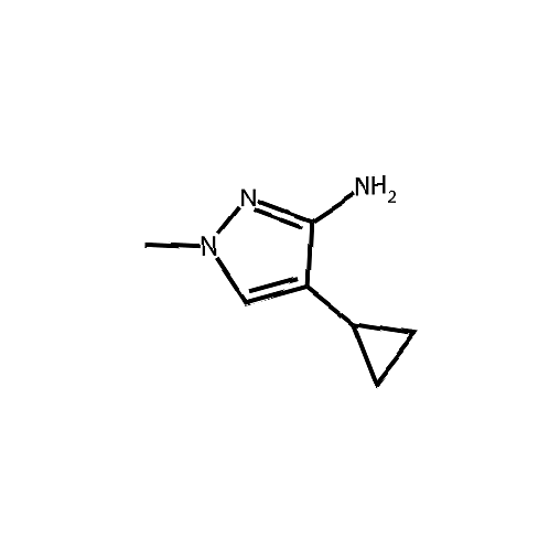 Cn1cc(C2CC2)c(N)n1